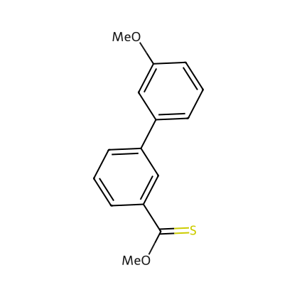 COC(=S)c1cccc(-c2cccc(OC)c2)c1